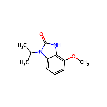 COc1cccc2c1[nH]c(=O)n2C(C)C